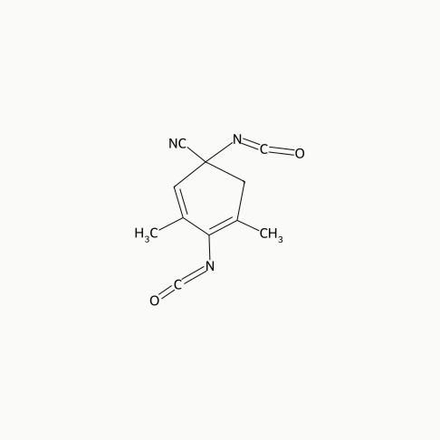 CC1=CC(C#N)(N=C=O)CC(C)=C1N=C=O